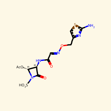 CC(=O)O[C@@H]1[C@@H](NC(=O)C=NOCc2csc(N)n2)C(=O)N1S(=O)(=O)O